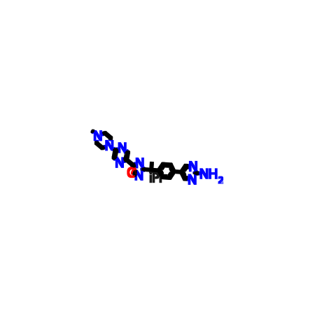 CC(C)C(C)(c1ccc(-c2cnc(N)nc2)cc1)c1noc(-c2cnc(N3CCN(C)CC3)cn2)n1